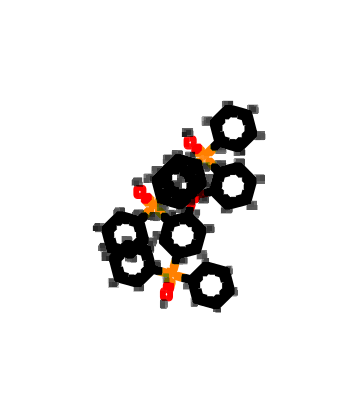 O=P(c1ccccc1)(c1ccccc1)c1ccc(Oc2ccccc2P(=O)(c2ccccc2)c2ccccc2)c(P(=O)(c2ccccc2)c2ccccc2)c1